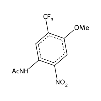 COc1cc([N+](=O)[O-])c(NC(C)=O)cc1C(F)(F)F